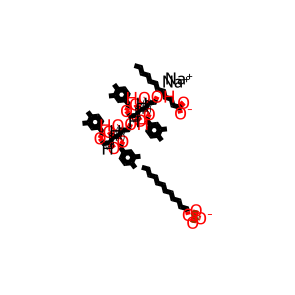 CCCCCCCCCCCC(=O)[O-].CCCCCCCCCCCCOS(=O)(=O)[O-].Cc1ccc(C2OC[C@@H]3OC(c4ccc(C)c(C)c4)O[C@H]([C@H](O)CO)[C@@H]3O2)cc1C.Cc1ccc(C2OC[C@@H]3OC(c4ccc(C)c(C)c4)O[C@H]([C@H](O)CO)[C@@H]3O2)cc1C.[Na+].[Na+]